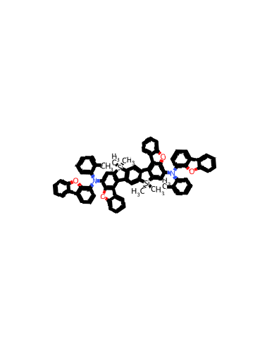 Cc1ccccc1N(c1cccc2c1oc1ccccc12)c1cc2c(c3c1oc1ccccc13)-c1cc3c(cc1[Si]2(C)C)-c1c(cc(N(c2ccccc2C)c2cccc4c2oc2ccccc24)c2oc4ccccc4c12)[Si]3(C)C